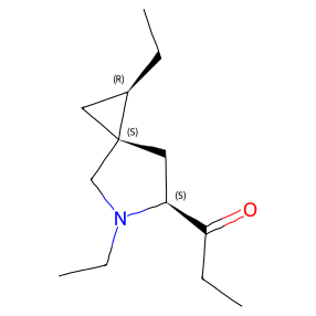 CCC(=O)[C@@H]1C[C@]2(C[C@H]2CC)CN1CC